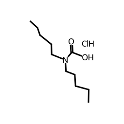 CCCCCN(CCCCC)C(=O)O.Cl